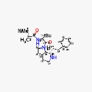 CNC(C)C(=O)N[C@H](C(=O)N1CCC2CCN[C@@H](CCc3ccccc3)[C@@H]21)C(C)(C)C